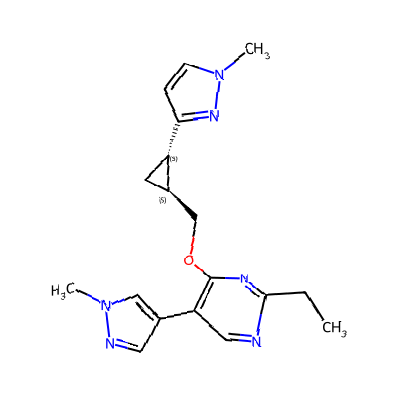 CCc1ncc(-c2cnn(C)c2)c(OC[C@H]2C[C@@H]2c2ccn(C)n2)n1